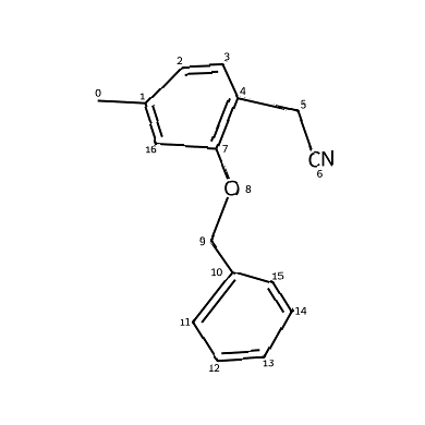 Cc1ccc(CC#N)c(OCc2ccccc2)c1